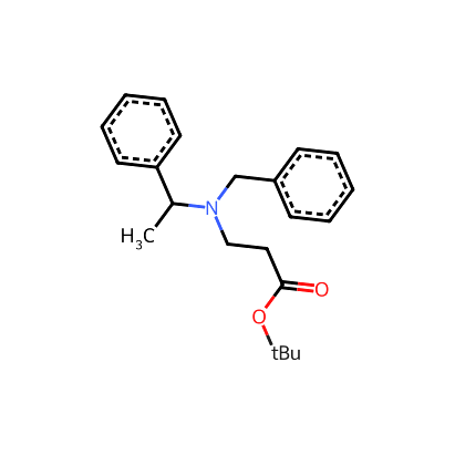 CC(c1ccccc1)N(CCC(=O)OC(C)(C)C)Cc1ccccc1